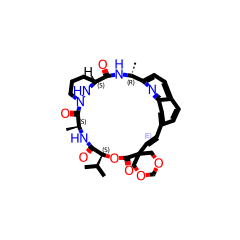 CC(C)[C@@H]1OC(=O)C2(/C=C/c3ccc4ccc(nc4c3)[C@@H](C)NC(=O)[C@@H]3CCCN(N3)C(=O)[C@H](C)NC1=O)COCOC2